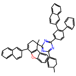 CC1C=CC(c2nc(-c3ccc(-c4ccccc4)c(-c4ccc5ccccc5c4)c3)nc(C3(C)CC=C(c4ccc5ccccc5c4)c4oc5ccccc5c43)n2)=CC1